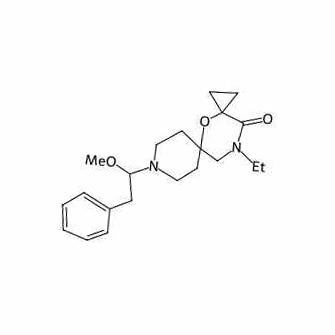 CCN1CC2(CCN(C(Cc3ccccc3)OC)CC2)OC2(CC2)C1=O